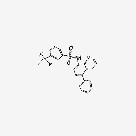 O=S(=O)(Nc1ccc(-c2ccccc2)c2cccnc12)c1cccc(C(F)(F)F)c1